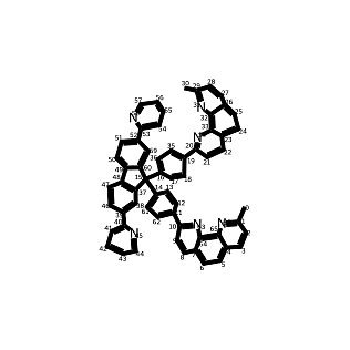 Cc1ccc2ccc3ccc(-c4ccc(C5(c6ccc(-c7ccc8ccc9ccc(C)nc9c8n7)cc6)c6cc(-c7ccccn7)ccc6-c6ccc(-c7ccccn7)cc65)cc4)nc3c2n1